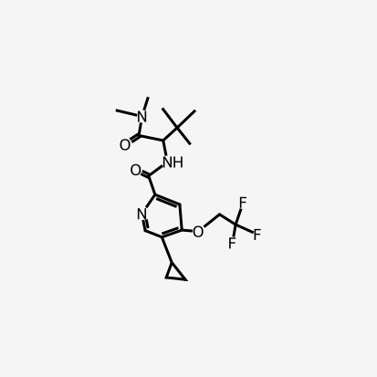 CN(C)C(=O)C(NC(=O)c1cc(OCC(F)(F)F)c(C2CC2)cn1)C(C)(C)C